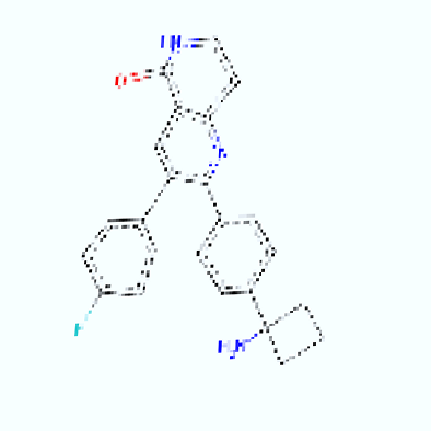 NC1(c2ccc(-c3nc4cc[nH]c(=O)c4cc3-c3ccc(F)cc3)cc2)CCC1